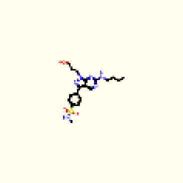 CCCCNc1ncc2c(-c3ccc(S(=O)(=O)NC)cc3)nn(CCCO)c2n1